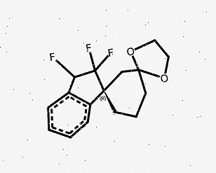 FC1c2ccccc2[C@]2(CCCC3(C2)OCCO3)C1(F)F